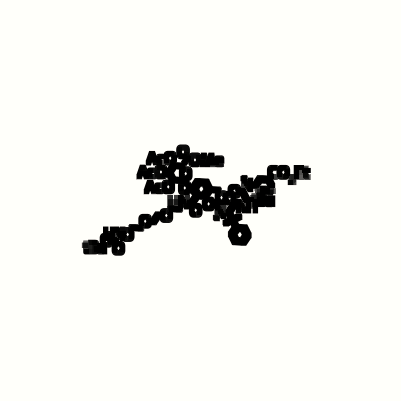 CCOC(=O)/C(C)=C/[C@H](C(C)C)N(C)C(=O)[C@@H](NC(=O)[C@@H](N(C)C(=O)OCc1ccc(O[C@@H]2O[C@H](C(=O)OC)[C@@H](OC(C)=O)[C@H](OC(C)=O)[C@H]2OC(C)=O)c(C(=O)NCCOCCOCCONC(=O)OC(C)(C)C)c1)C(C)(C)c1ccccc1)C(C)(C)C